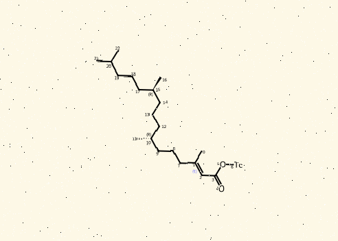 C/C(=C\C(=O)[O][Tc])CCC[C@H](C)CCC[C@H](C)CCCC(C)C